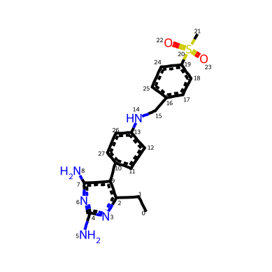 CCc1nc(N)nc(N)c1-c1ccc(NCc2ccc(S(C)(=O)=O)cc2)cc1